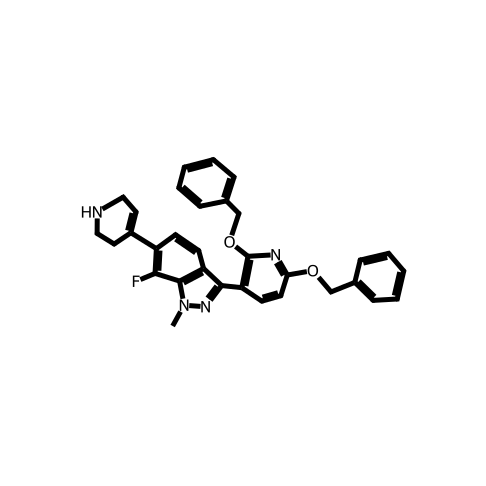 Cn1nc(-c2ccc(OCc3ccccc3)nc2OCc2ccccc2)c2ccc(C3=CCNCC3)c(F)c21